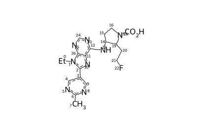 CCn1c(-c2cnc(C)nc2)nc2c(NC3CCN(C(=O)O)C3CCF)ncnc21